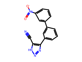 N#Cc1[nH]nnc1-c1cccc(-c2cccc([N+](=O)[O-])c2)c1